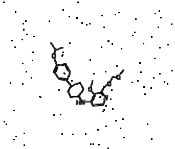 COCOCc1nccc(NC2CCC(c3ccc(OC(C)C)cc3)CC2)c1OC